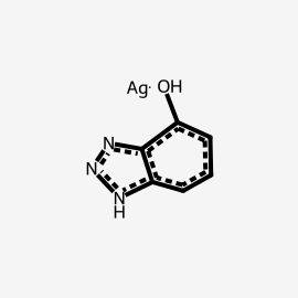 Oc1cccc2[nH]nnc12.[Ag]